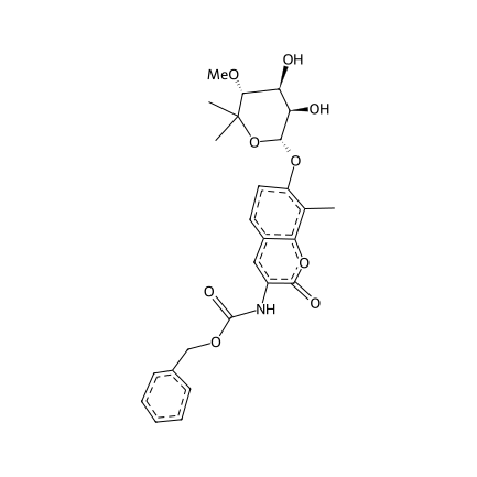 CO[C@@H]1[C@@H](O)[C@@H](O)[C@H](Oc2ccc3cc(NC(=O)OCc4ccccc4)c(=O)oc3c2C)OC1(C)C